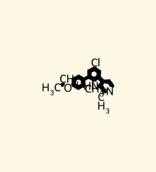 Cc1cc(OC(C)C)ccc1-c1cc(Cl)cc2c1[nH]c1c(C)nccc12